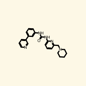 O=C(Nc1cccc(-c2cccnc2)c1)Nc1cccc(CN2CCCCC2)n1